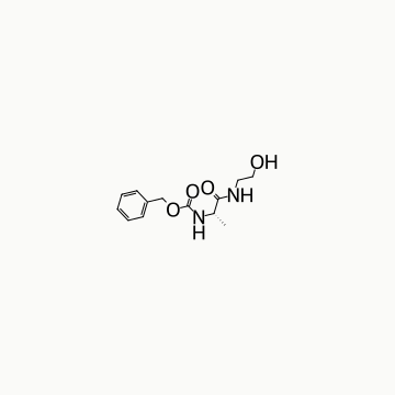 C[C@H](NC(=O)OCc1ccccc1)C(=O)NCCO